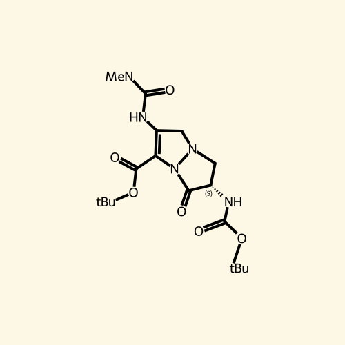 CNC(=O)NC1=C(C(=O)OC(C)(C)C)N2C(=O)[C@@H](NC(=O)OC(C)(C)C)CN2C1